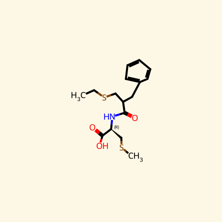 CCSCC(Cc1ccccc1)C(=O)N[C@@H](CSC)C(=O)O